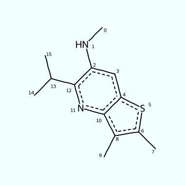 CNc1cc2sc(C)c(C)c2nc1C(C)C